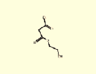 CCC(=O)CC(=O)OCCC#N